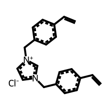 C=Cc1ccc(Cn2cc[n+](Cc3ccc(C=C)cc3)c2)cc1.[Cl-]